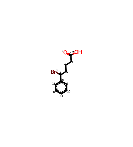 O=C(O)CCCC(Br)c1ccccc1